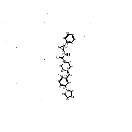 O=C(NC1C[C@H]1c1ccccc1)N1CCC(=Cc2cccc(N3CCCC3)c2)CC1